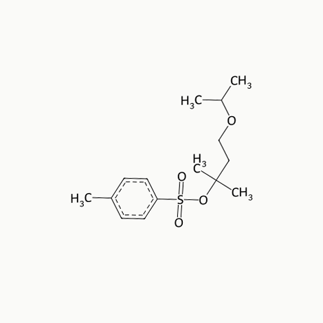 Cc1ccc(S(=O)(=O)OC(C)(C)CCOC(C)C)cc1